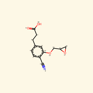 N#Cc1ccc(CCC(=O)O)cc1OCC1CO1